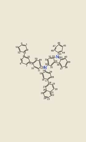 c1ccc(-c2cccc(-c3ccc(N(c4ccc(-c5ccc6ccccc6c5)cc4)c4ccc5c(c4)c4ccccc4n5-c4ccccc4)cc3)c2)cc1